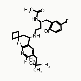 CC(=O)N[C@@H](Cc1cccc(F)c1)[C@H](O)CN[C@H]1CC2(CCC2)Oc2nc(F)c(CC(C)(C)C)cc21